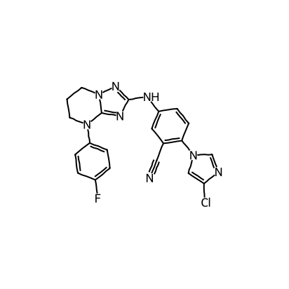 N#Cc1cc(Nc2nc3n(n2)CCCN3c2ccc(F)cc2)ccc1-n1cnc(Cl)c1